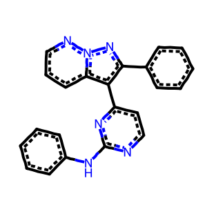 c1ccc(Nc2nccc(-c3c(-c4ccccc4)nn4ncccc34)n2)cc1